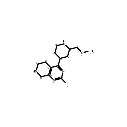 COCC1CC(c2nc(Cl)nc3c2CCNC3)CCN1